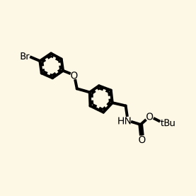 CC(C)(C)OC(=O)NCc1ccc(COc2ccc(Br)cc2)cc1